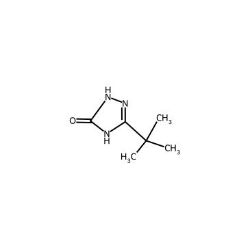 CC(C)(C)c1n[nH]c(=O)[nH]1